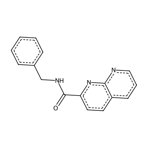 O=C(NCc1ccccc1)c1ccc2cccnc2n1